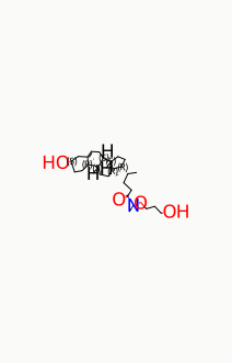 CC(CCC(=O)N(C)OCCCO)[C@H]1CC[C@H]2[C@@H]3CC=C4C[C@@H](O)CC[C@]4(C)[C@H]3CC[C@]12C